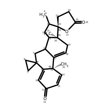 CC1CC2C3CC4(CC4)C4=CC(=O)C=C[C@]4(C)C3=CC[C@]2(C)[C@]12CCC(=O)O2